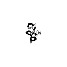 O=C(O)N(c1cnc2cccnn12)N1CCCC1c1cccc(F)c1